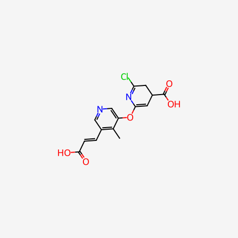 Cc1c(/C=C/C(=O)O)cncc1OC1=CC(C(=O)O)CC(Cl)=N1